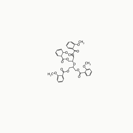 COc1ccccc1C(=O)OCC(COC(=O)c1ccccc1OC)OC(COC(=O)c1ccccc1OC)COC(=O)C1C=CC=CC1OC